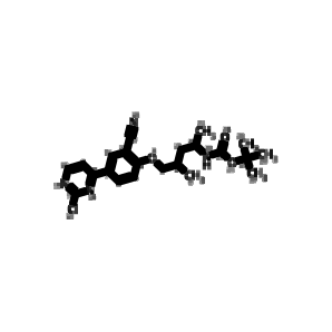 CC(COc1ccc(-c2ccnc(Cl)n2)cc1C#N)CC(C)NC(=O)OC(C)(C)C